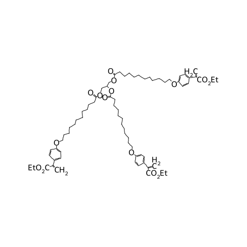 C=C(C(=O)OCC)c1ccc(OCCCCCCCCCCCC(=O)OCC(COC(=O)CCCCCCCCCCCOc2ccc(C(=C)C(=O)OCC)cc2)OC(=O)CCCCCCCCCCCOc2ccc(C(=C)C(=O)OCC)cc2)cc1